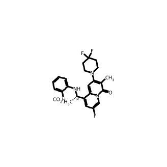 Cc1c(N2CCC(F)(F)CC2)cc2c([C@H](C)Nc3ccccc3C(=O)O)cc(F)cn2c1=O